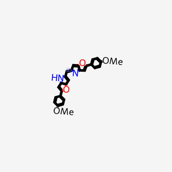 COc1ccc(C2=CC3NC(/C=C4/C=c5oc(-c6ccc(OC)cc6)cc5=N4)=CC3O2)cc1